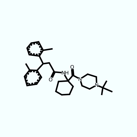 Cc1ccccc1C(CC(=O)NC1(C(=O)N2CCN(C(C)(C)C)CC2)CCCCC1)c1ccccc1C